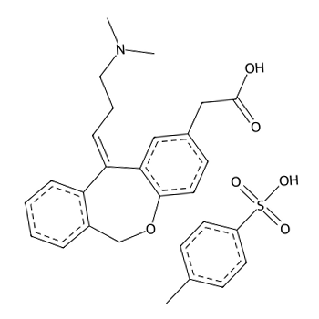 CN(C)CC/C=C1/c2ccccc2COc2ccc(CC(=O)O)cc21.Cc1ccc(S(=O)(=O)O)cc1